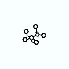 c1ccc(C2=NC(c3cc4c(c5ccccc5n4-c4ccccc4)c4sc5ccccc5c34)N3C(c4ccccc4)N23)cc1